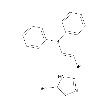 CC(C)C=CB(c1ccccc1)c1ccccc1.CC(C)c1cnc[nH]1